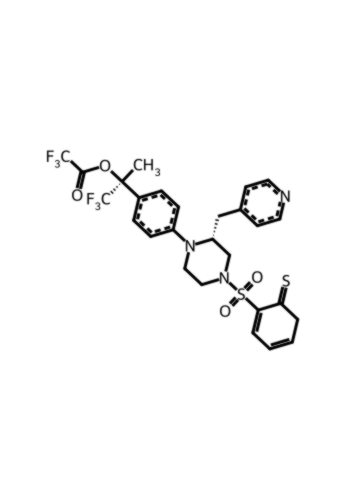 C[C@](OC(=O)C(F)(F)F)(c1ccc(N2CCN(S(=O)(=O)C3=CC=CCC3=S)C[C@H]2Cc2ccncc2)cc1)C(F)(F)F